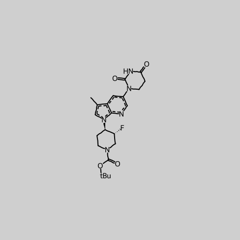 Cc1cn([C@@H]2CCN(C(=O)OC(C)(C)C)C[C@H]2F)c2ncc(N3CCC(=O)NC3=O)cc12